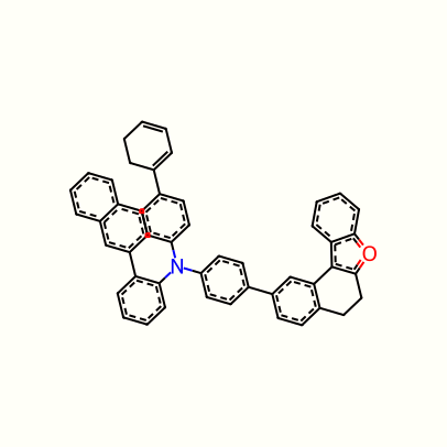 C1=CCCC(c2ccc(N(c3ccc(-c4ccc5c(c4)-c4c(oc6ccccc46)CC5)cc3)c3ccccc3-c3ccc4ccccc4c3)cc2)=C1